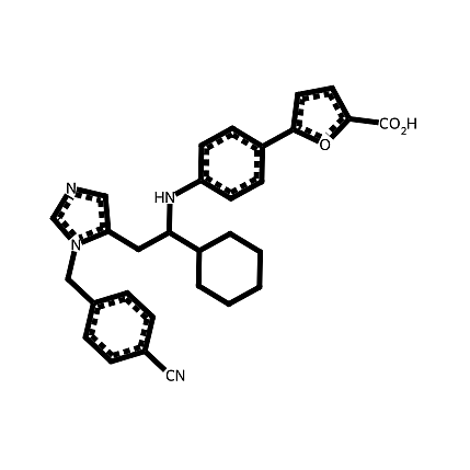 N#Cc1ccc(Cn2cncc2CC(Nc2ccc(-c3ccc(C(=O)O)o3)cc2)C2CCCCC2)cc1